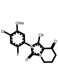 COc1cc(-n2c(C#N)c3n(c2=O)CCCC3=O)c(F)cc1Cl